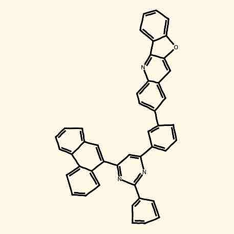 c1ccc(-c2nc(-c3cccc(-c4ccc5nc6c(cc5c4)oc4ccccc46)c3)cc(-c3cc4ccccc4c4ccccc34)n2)cc1